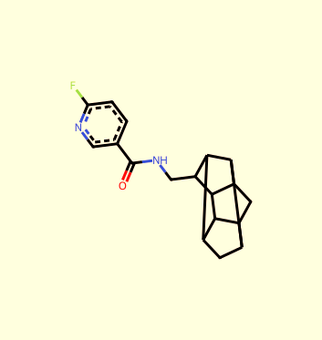 O=C(NCC1C2C3CC4C5CC(C42)C1C53)c1ccc(F)nc1